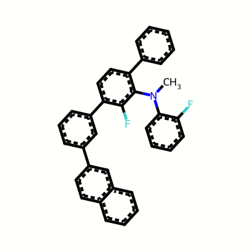 CN(c1ccccc1F)c1c(-c2ccccc2)ccc(-c2cccc(-c3ccc4ccccc4c3)c2)c1F